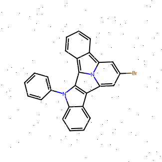 Brc1cc2c3ccccc3c3c4c(c5ccccc5n4-c4ccccc4)c(c1)n23